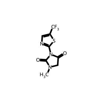 CN1CC(=O)N(c2ncc(C(F)(F)F)s2)C1=O